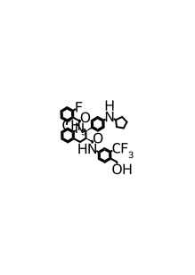 Cc1cccc(F)c1C(=O)N1c2ccccc2C[C@H](C(=O)Nc2ccc(CO)c(C(F)(F)F)c2)[C@@H]1c1ccc(NC2CCCC2)cc1